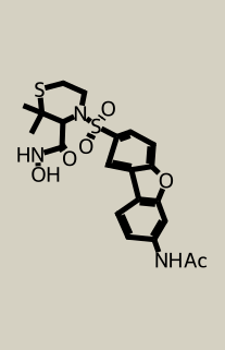 CC(=O)Nc1ccc2c(c1)oc1ccc(S(=O)(=O)N3CCSC(C)(C)C3C(=O)NO)cc12